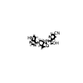 N#Cc1ccc([C@@H](CO)NC(=O)[C@H]2CCN(c3ncnc4[nH]ccc34)CC23CC3)nc1